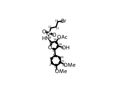 COc1ccc(-c2oc(NS(=O)(=O)CCCBr)c(OC(C)=O)c2O)cc1OC